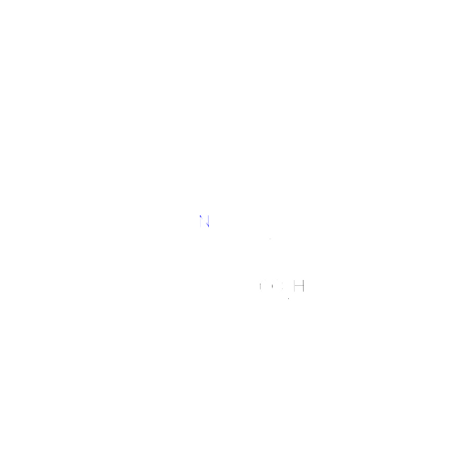 O=C(O)[C@H]1CCC2CCN21